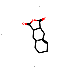 O=C1OC(=O)C2CC3CCCC=C3CC12